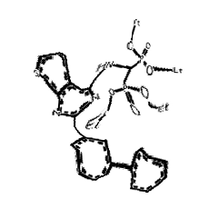 CCOP(=O)(OCC)C(Nc1nc(-c2cccc(-c3ccccc3)c2)nc2sccc12)P(=O)(OCC)OCC